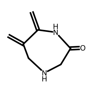 C=C1CNCC(=O)NC1=C